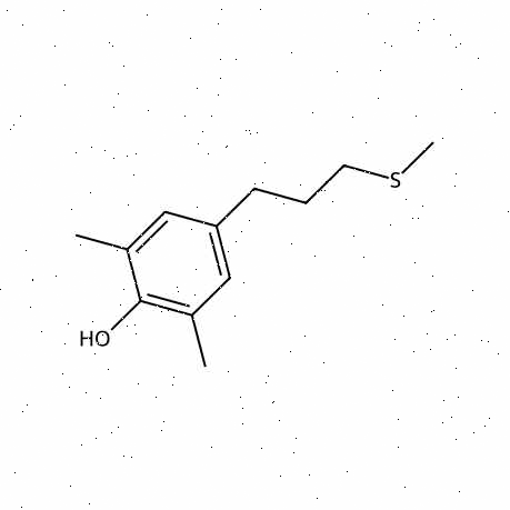 CSCCCc1cc(C)c(O)c(C)c1